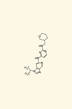 CC(C)n1cnc2cnc(Nc3ccnc(NCC4CCCOC4)n3)cc21